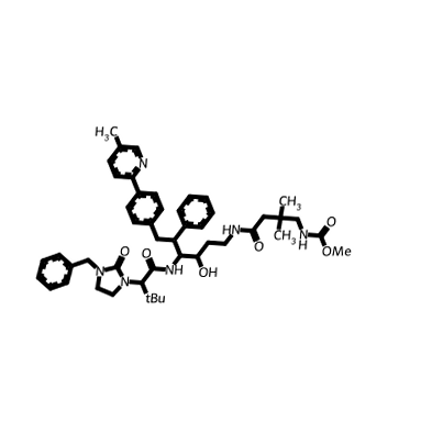 COC(=O)NCC(C)(C)CC(=O)NCCC(O)C(NC(=O)C(N1CCN(Cc2ccccc2)C1=O)C(C)(C)C)C(Cc1ccc(-c2ccc(C)cn2)cc1)c1ccccc1